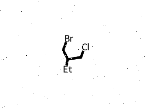 CCC(CCl)CBr